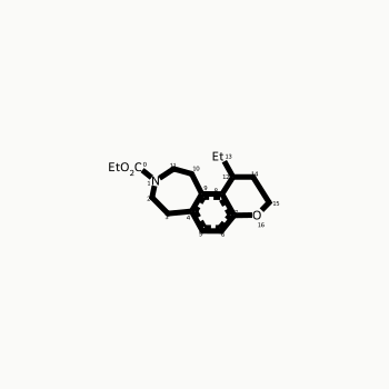 CCOC(=O)N1CCc2ccc3c(c2CC1)C(CC)CCO3